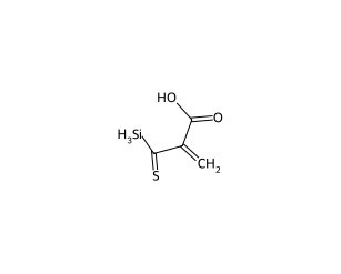 C=C(C(=O)O)C([SiH3])=S